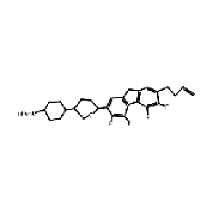 C=CCCc1cc2c(c(F)c1F)-c1c(cc(C3CCC(C4CCC(CCCCC)CC4)CC3)c(F)c1F)C2